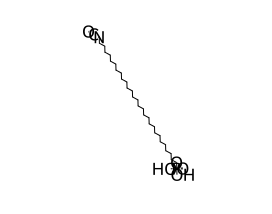 O=C=NCCCCCCCCCCCCCCCCCCCCCCCCCCCOP(=O)(O)O